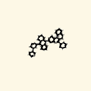 c1ccc(-c2nc3cc(-c4c5ccccc5c(-c5cccc(-c6cccnc6)c5)c5ccccc45)ccc3c3c2ccc2ccccc23)cc1